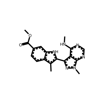 CNc1ncnc2c1c(-c1[nH]c3cc(C(=O)OC)ccc3c1C)nn2C